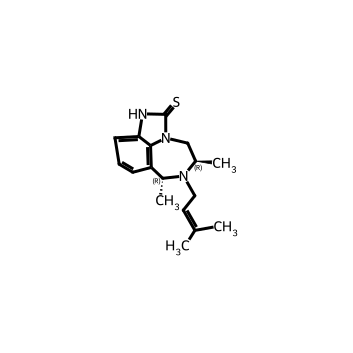 CC(C)=CCN1[C@H](C)Cn2c(=S)[nH]c3cccc(c32)[C@H]1C